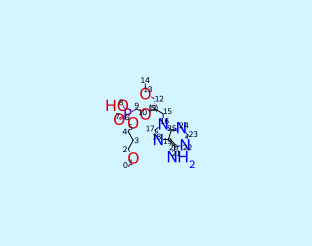 COCCCOP(=O)(O)CO[C@H](COC)Cn1cnc2c(N)ncnc21